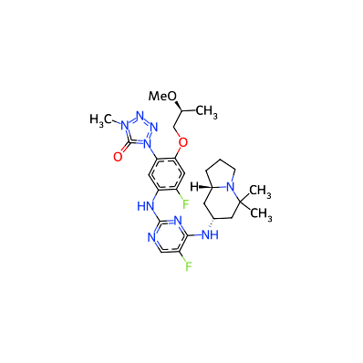 CO[C@@H](C)COc1cc(F)c(Nc2ncc(F)c(N[C@@H]3C[C@@H]4CCCN4C(C)(C)C3)n2)cc1-n1nnn(C)c1=O